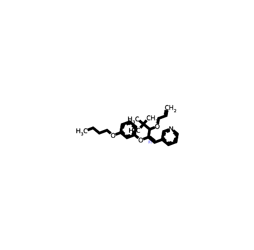 C=CCOC(/C(=C\c1cccnc1)Oc1cccc(OCCCC)c1)C(C)(C)C